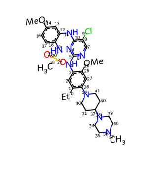 CCc1cc(Nc2ncc(Cl)c(Nc3cc(OC)ccc3NS(C)(=O)=O)n2)c(OC)cc1N1CCC(N2CCN(C)CC2)CC1